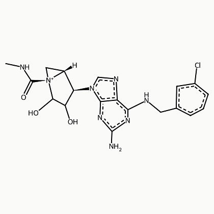 CNC(=O)[N@@+]12C[C@@H]1[C@@H](n1cnc3c(NCc4cccc(Cl)c4)nc(N)nc31)C(O)C2O